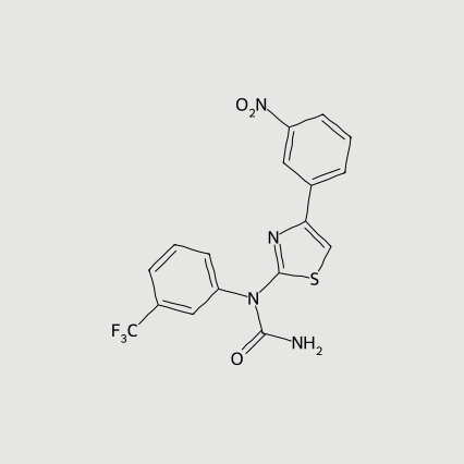 NC(=O)N(c1cccc(C(F)(F)F)c1)c1nc(-c2cccc([N+](=O)[O-])c2)cs1